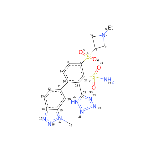 CCN1CC(S(=O)(=O)c2ccc(-c3ccc4nnn(C)c4c3)c(-c3nnn[nH]3)c2S(N)(=O)=O)C1